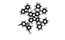 Cc1ccc2c(c1)c1cc(C)ccc1n2-c1ccc2c(c1)-c1c(ccc3c1Sc1ccccc1B3c1ccccc1)C21c2ccc(-n3c4ccccc4c4ccccc43)cc2-c2c1ccc1c2Sc2ccccc2B1c1ccccc1